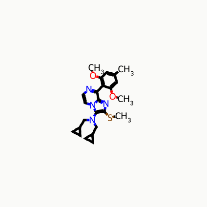 COc1cc(C)cc(OC)c1-c1nccn2c(N(CC3CC3)CC3CC3)c(SC)nc12